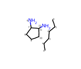 CCCCCC.NC1CCCC1N